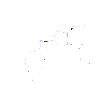 CC1(C)CCC(N[C@H]2C[C@@H](C(=O)O)N(C(=O)OC(C)(C)C)C2)CC1